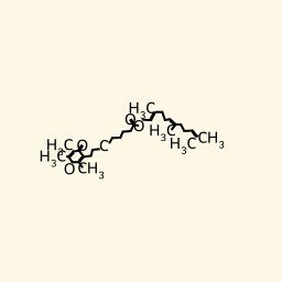 CC(C)=CCC/C(C)=C/CC/C(C)=C/COC(=O)CCCCCCCCCC1=C(C)C(=O)C(C)=C(C)C1=O